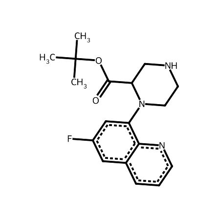 CC(C)(C)OC(=O)C1CNCCN1c1cc(F)cc2cccnc12